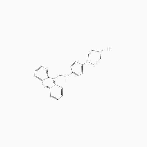 CN1CCN(c2ccc(NCc3c4ccccc4nc4ccccc34)cc2)CC1